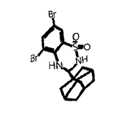 O=S1(=O)NC(C23CC4CC(CC(C4)C2)C3)Nc2c(Br)cc(Br)cc21